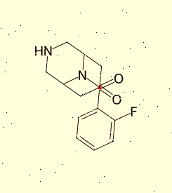 O=C1CC2CNCC(C1)N2C(=O)c1ccccc1F